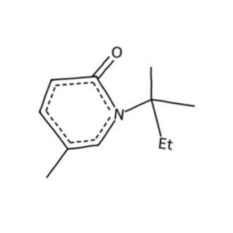 CCC(C)(C)n1cc(C)ccc1=O